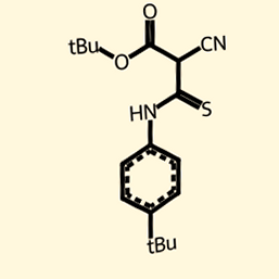 CC(C)(C)OC(=O)C(C#N)C(=S)Nc1ccc(C(C)(C)C)cc1